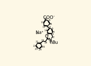 CCCCN(Cc1ccc(-c2ccc(C(=O)[O-])cc2)cc1)C(=O)CCc1ccccc1.[Na+]